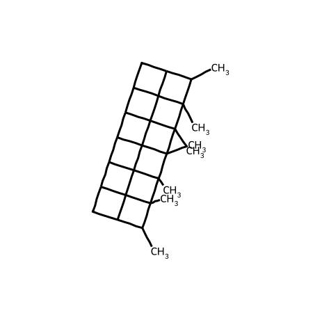 CC1C2CC3C4C5C6C7CC8C(C)C9(C)C87C67C9(C)C6(C)C8(C)C1(C)C23C48C567